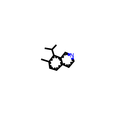 Cc1ccc2ccncc2c1C(C)C